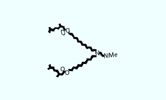 CNCCN(CCCCCCCCCCCCOC(=O)CC(C)CCC=C(C)C)CCCCCCCCCCCCOC(=O)CC(C)CCC=C(C)C